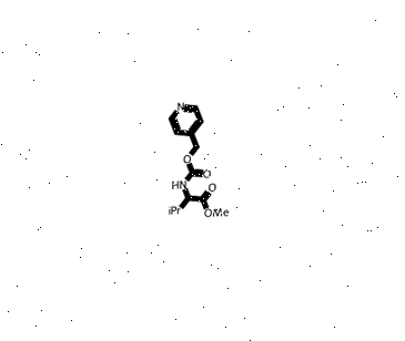 COC(=O)C(NC(=O)OCc1ccncc1)C(C)C